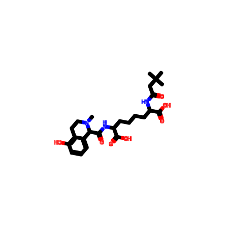 CN1CCc2c(O)cccc2C1C(=O)NC(CCCCC(NC(=O)CC(C)(C)C)C(=O)O)C(=O)O